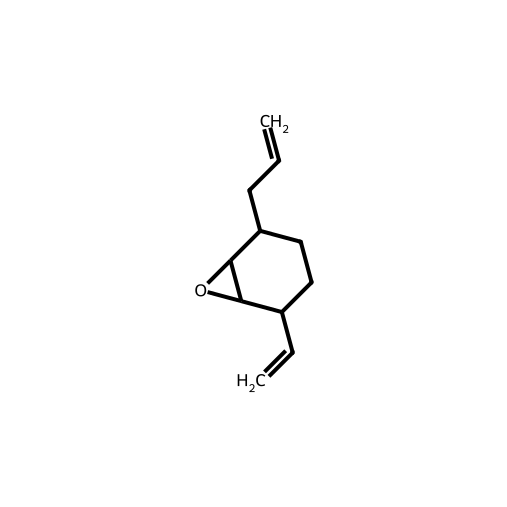 C=CCC1CCC(C=C)C2OC12